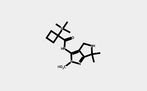 CC1(C)NCc2c1nn(C(=O)O)c2NC(=O)C1([Si](C)(C)C)CCC1